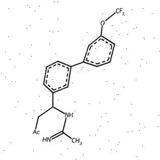 CC(=N)NC(CC(C)=O)c1cccc(-c2cccc(OC(F)(F)F)c2)c1